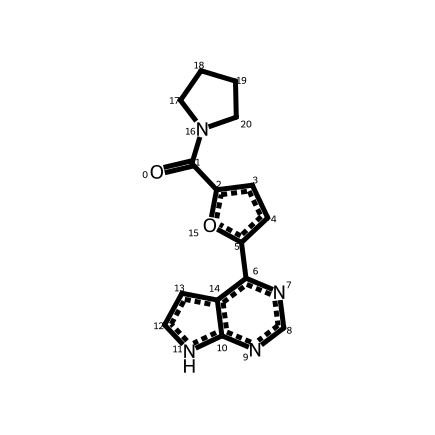 O=C(c1ccc(-c2ncnc3[nH]ccc23)o1)N1CCCC1